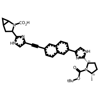 C[C@H]1CC[C@@H](c2nc(-c3ccc4cc(C#Cc5c[nH]c(C6CC7CC7N6C(=O)O)n5)ccc4c3)c[nH]2)N1C(=O)OC(C)(C)C